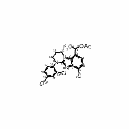 CC(=O)OC(c1ccc(Cl)c2nc3n(c12)CCCN3c1ccc(Cl)cc1Cl)C(F)(F)F